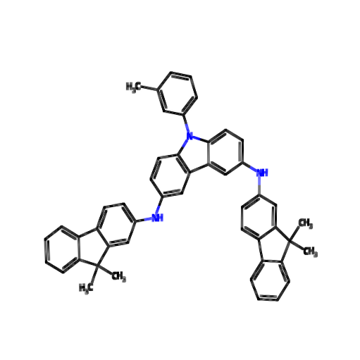 Cc1cccc(-n2c3ccc(Nc4ccc5c(c4)C(C)(C)c4ccccc4-5)cc3c3cc(Nc4ccc5c(c4)C(C)(C)c4ccccc4-5)ccc32)c1